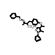 C/C(=N\OCc1ccccc1)C(Cc1ccc(OC(C)c2cnn(-c3ccccc3)c2C)cc1)C(=O)O